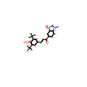 CN1C[Se](=O)c2cc(C(=O)C=Cc3cc(C(C)(C)C)c(O)c(C(C)(C)C)c3)ccc21